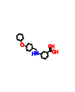 OB(O)c1cccc(NCc2ccc(Oc3ccccc3)cc2)c1